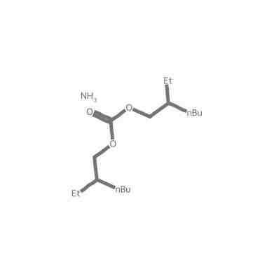 CCCCC(CC)COC(=O)OCC(CC)CCCC.N